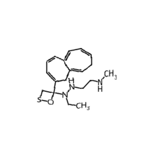 CCN(NCCNC)C1(C2=CC=CC3=CC=CCC=C3C2)CSO1